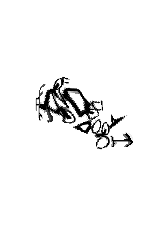 Cn1c(C(F)(F)F)cc(=O)n(-c2cc(Oc3ccccc3OCC(O)OCC3CC3)c(Cl)cc2F)c1=O